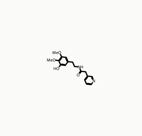 COc1cc(CCNC(=O)Cc2cccnc2)cc(O)c1OC